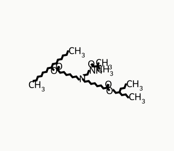 CCCCCCCCC(CCCCCCCC)OC(=O)CCCCCCCN(CCCCCCCC(=O)OCCC(CCCC)CCCC)CCCNC(=O)C(C)C